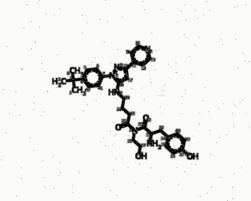 CC(C)(C)c1ccc(-n2nc(-c3ccncc3)cc2NCCCC(=O)N(CCO)C(=O)C(N)Cc2ccc(O)cc2)cc1